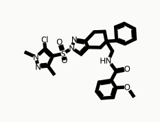 COc1ccccc1C(=O)NCC1(c2ccccc2)CCc2nn(S(=O)(=O)c3c(C)nn(C)c3Cl)cc2C1